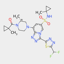 C[C@@H]1CN(c2cc(S(=O)(=O)NC3(C)CC3)cn3c(-c4nnc(C(F)F)s4)nnc23)CCN1C(=O)C1(C)CC1